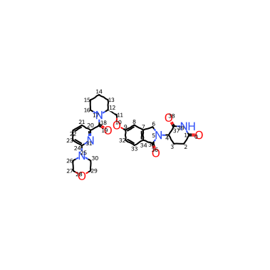 O=C1CCC(N2Cc3cc(OC[C@@H]4CCCCN4C(=O)c4cccc(N5CCOCC5)n4)ccc3C2=O)C(=O)N1